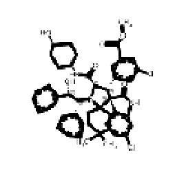 COC(=O)c1cc(Cl)cc([C@H]2[C@H](C(=O)N[C@H]3CC[C@H](O)CC3)N([C@H](c3ccccc3)[C@@H](O)c3ccccc3)C3(CCC(C)(C)CC3)[C@@]23C(=O)Nc2cc(Cl)ccc23)c1